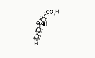 O=C(O)CC[C@H]1CC[C@H](NC(=O)c2ccc(C3CCNCC3)cc2)CC1